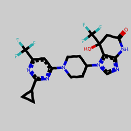 O=C1CC(O)(C(F)(F)F)c2c(ncn2C2CCN(c3cc(C(F)(F)F)nc(C4CC4)n3)CC2)N1